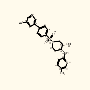 CC(=O)c1cncc(-c2ccc(S(=O)(=O)N3CC[C@@H](Nc4ccc(C)cn4)[C@@H](O)C3)cc2)c1